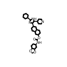 O=C(Nc1ccc2c(c1)OCO2)Oc1ccc2cc(-c3nc(-c4ccccc4)[nH]c3-c3ccncc3)ccc2c1